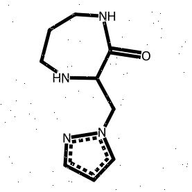 O=C1NCCCNC1Cn1cccn1